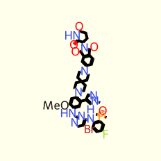 COc1cc(N2CCC3(CCN(c4ccc5c(c4)C(=O)N(C4CCC(=O)NC4=O)C5=O)CC3)CC2)c(-c2cnn(C)c2)cc1Nc1ncc(Br)c(Nc2ccc(F)cc2P(C)(C)=O)n1